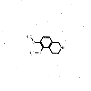 COc1ccc2c(c1OC)CCNC2